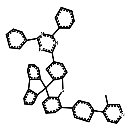 Cc1cnccc1-c1ccc(-c2cccc3c2Sc2ccc(-c4nc(-c5ccccc5)nc(-c5ccccc5)n4)cc2C32c3ccccc3-c3ccccc32)cc1